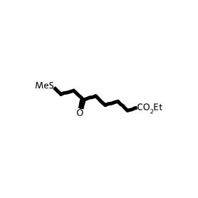 CCOC(=O)CCCCC(=O)CCSC